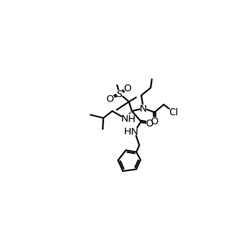 CCCN(C(=O)CCl)[C@@](NCC(C)C)(C(=O)NCc1ccccc1)C(C)(C)S(C)(=O)=O